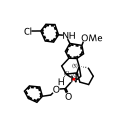 COc1cc2c(cc1Nc1ccc(Cl)cc1)C[C@H]1[C@H]3CCCC[C@@]23CCN1C(=O)OCc1ccccc1